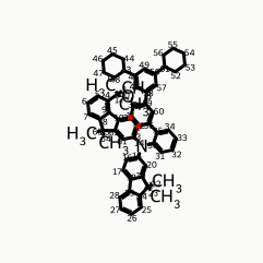 CC(C)(C)c1cccc2c1-c1ccc(N(c3ccc4c(c3)C(C)(C)c3ccccc3-4)c3ccccc3-c3ccc4oc5c(C6CCCCC6)cc(C6CCCCC6)cc5c4c3)cc1C2(C)C